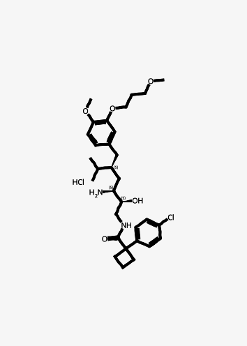 COCCCOc1cc(C[C@@H](C[C@H](N)[C@@H](O)CNC(=O)C2(c3ccc(Cl)cc3)CCC2)C(C)C)ccc1OC.Cl